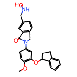 COc1ccc(N2Cc3ccc(CNO)cc3C2=O)cc1OC1CCc2ccccc21